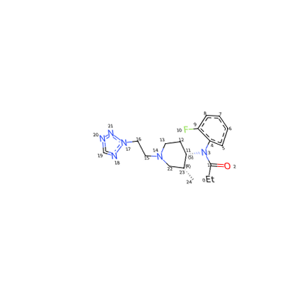 CCC(=O)N(c1ccccc1F)[C@H]1CCN(CCn2ncnn2)C[C@H]1C